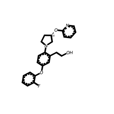 OCCc1cc(Oc2ccccc2F)ccc1N1CC[C@H](Oc2ccccn2)C1